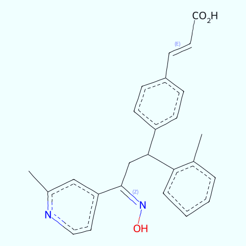 Cc1cc(/C(CC(c2ccc(/C=C/C(=O)O)cc2)c2ccccc2C)=N\O)ccn1